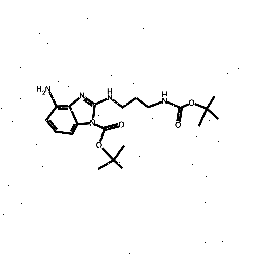 CC(C)(C)OC(=O)NCCCNc1nc2c(N)cccc2n1C(=O)OC(C)(C)C